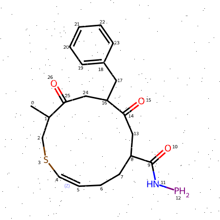 CC1CS/C=C\CCC(C(=O)NP)CC(=O)C(Cc2ccccc2)CC1=O